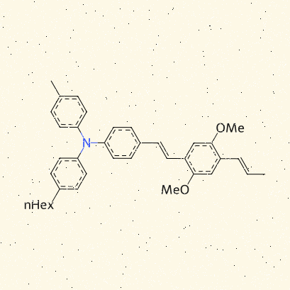 CC=Cc1cc(OC)c(C=Cc2ccc(N(c3ccc(C)cc3)c3ccc(CCCCCC)cc3)cc2)cc1OC